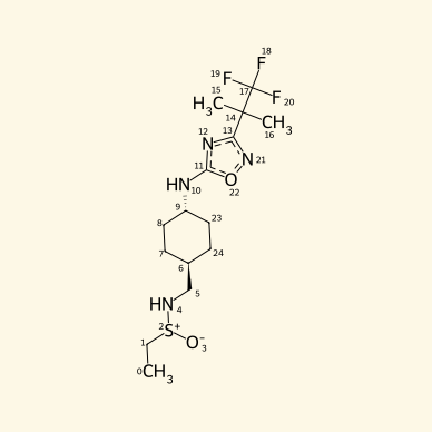 CC[S+]([O-])NC[C@H]1CC[C@H](Nc2nc(C(C)(C)C(F)(F)F)no2)CC1